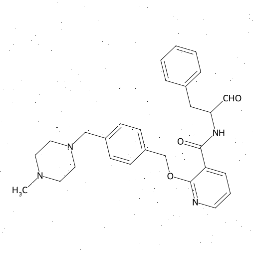 CN1CCN(Cc2ccc(COc3ncccc3C(=O)NC(C=O)Cc3ccccc3)cc2)CC1